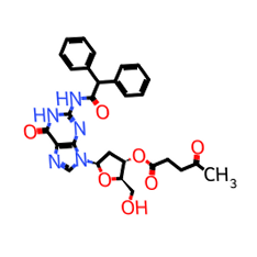 CC(=O)CCC(=O)O[C@H]1C[C@H](n2cnc3c(=O)[nH]c(NC(=O)C(c4ccccc4)c4ccccc4)nc32)O[C@@H]1CO